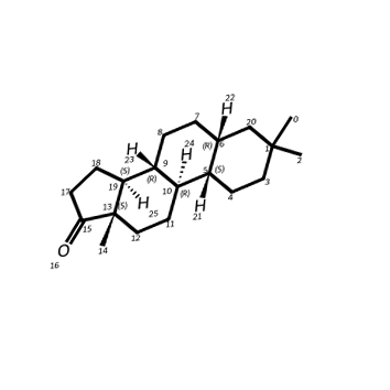 CC1(C)CC[C@H]2[C@H](CC[C@@H]3[C@@H]2CC[C@]2(C)C(=O)CC[C@@H]32)C1